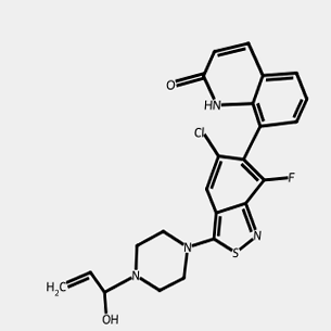 C=CC(O)N1CCN(c2snc3c(F)c(-c4cccc5ccc(=O)[nH]c45)c(Cl)cc23)CC1